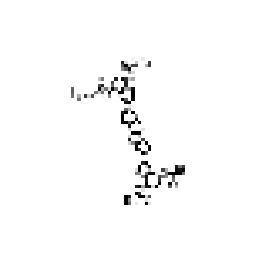 CCC(=O)OC1CCC(OC(=O)CC)c2cc(-c3ccc4c(c3)sc3c5ccc(-c6ccc7c(c6)C(OC(=O)CC(F)(F)F)CCC7OC(=O)CC(F)(F)F)cc5sc43)ccc21